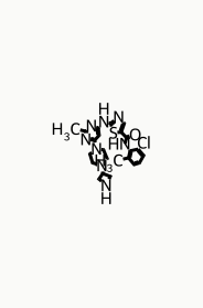 Cc1nc(Nc2ncc(C(=O)Nc3c(C)cccc3Cl)s2)cc(N2CCN(C3CNC3)CC2)n1